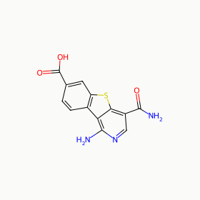 NC(=O)c1cnc(N)c2c1sc1cc(C(=O)O)ccc12